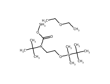 CC(C)(C)N(CCO[Si](C)(C)C(C)(C)C)C(=O)O[SiH3].CCOCC